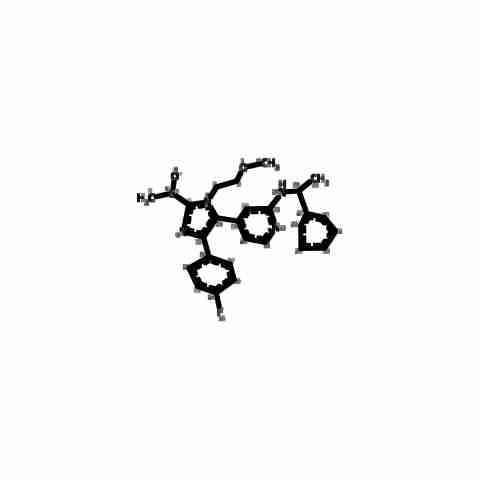 COCCn1c([S+](C)[O-])nc(-c2ccc(F)cc2)c1-c1ccnc(NC(C)c2ccccc2)c1